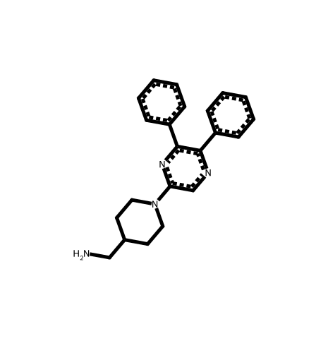 NCC1CCN(c2cnc(-c3ccccc3)c(-c3ccccc3)n2)CC1